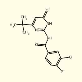 CC(C)(C)c1cc(=O)[nH]c(NC(=O)c2ccc(F)c(Cl)c2)n1